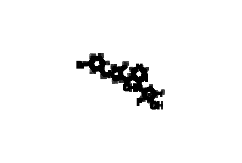 [CH2][C@@H]1C[C@@H](Nc2ncncc2C(=O)c2cn(Cc3cccc(Br)c3)cc2C)[C@@H](F)[C@@H]1O